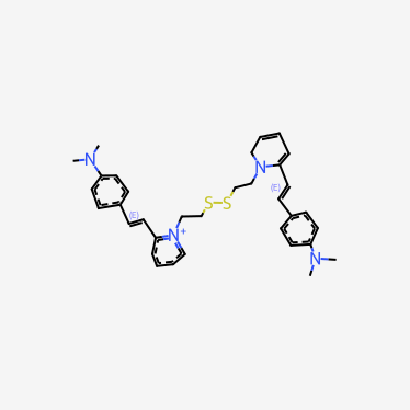 CN(C)c1ccc(/C=C/C2=CC=CCN2CCSSCC[n+]2ccccc2/C=C/c2ccc(N(C)C)cc2)cc1